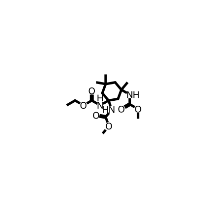 CCOC(=O)NC1(NC(=O)OC)CC(C)(C)CC(C)(NC(=O)OC)C1